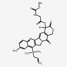 C=CC[Si](C)(C)c1c2c(nc3ccc(OC(C)=O)cc13)-c1cc3c(c(=O)n1C2)COC(=O)C3(CC)OC(=O)CNC(=O)OC(C)(C)C